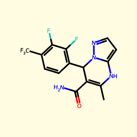 CC1=C(C(N)=O)C(c2ccc(C(F)(F)F)c(F)c2F)n2nccc2N1